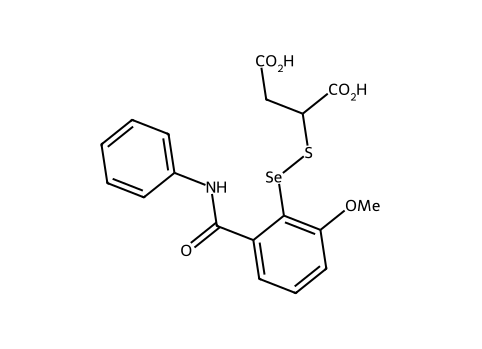 COc1cccc(C(=O)Nc2ccccc2)c1[Se]SC(CC(=O)O)C(=O)O